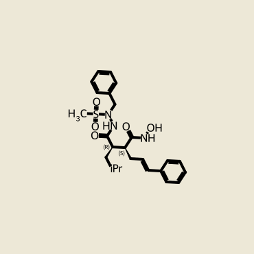 CC(C)C[C@@H](C(=O)NN(Cc1ccccc1)S(C)(=O)=O)[C@H](CC=Cc1ccccc1)C(=O)NO